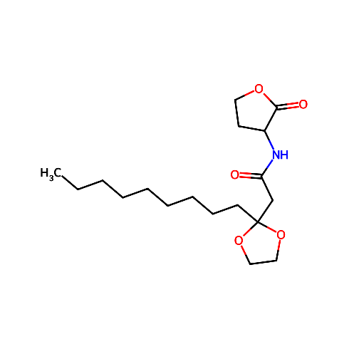 CCCCCCCCCC1(CC(=O)NC2CCOC2=O)OCCO1